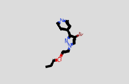 CCCOCCn1cc(Br)c(-c2ccncc2)n1